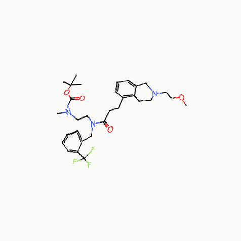 COCCN1CCc2c(CCC(=O)N(CCN(C)C(=O)OC(C)(C)C)Cc3ccccc3C(F)(F)F)cccc2C1